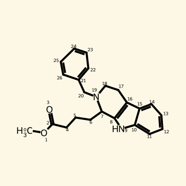 COC(=O)CCCC1c2[nH]c3ccccc3c2CCN1Cc1ccccc1